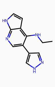 CCNc1c(-c2cn[nH]c2)cnc2[nH]ccc12